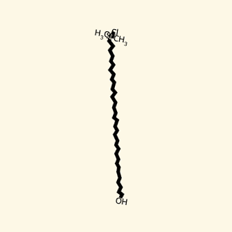 C[Si](C)(Cl)CCCCCCCCCCCCCCCCCCCCCCCCCCCCCCCCCCO